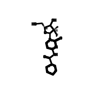 C[C@@]1(F)C(O)[C@@H](CO)OC1n1ccc(NC(=O)c2ccccc2)nc1=O